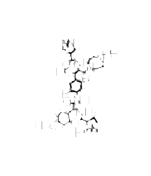 CCn1nccc1C(=O)N[C@H](C(=O)Nc1ccc(/C(C)=C(/NC(=O)c2cnns2)C(=O)N2CCN(C)CC2)cc1F)[C@H]1CC[C@H](C)CC1